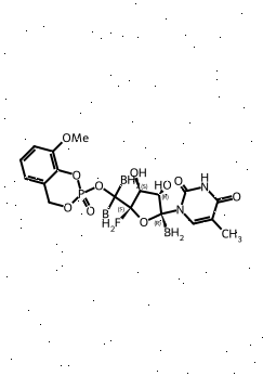 BC(B)(OP1(=O)OCc2cccc(OC)c2O1)[C@@]1(F)O[C@@](B)(n2cc(C)c(=O)[nH]c2=O)[C@H](O)[C@@H]1O